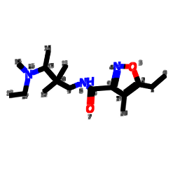 CCc1onc(C(=O)NCC(C)(C)C(C)N(C)CC)c1C